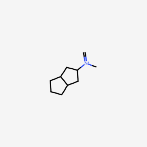 C=[N+](C)C1CC2CCCC2C1